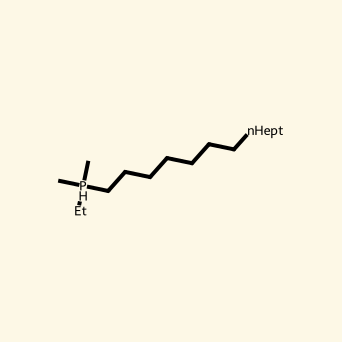 CCCCCCCCCCCCCC[PH](C)(C)CC